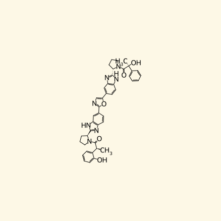 C[C@H](C(=O)N1CCC[C@H]1c1nc2ccc(-c3ncc(-c4ccc5[nH]c([C@@H]6CCCN6C(=O)[C@@](C)(O)c6ccccc6)nc5c4)o3)cc2[nH]1)c1ccccc1O